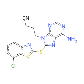 N#CCCCn1c(Sc2nc3cccc(Cl)c3s2)nc2c(N)ncnc21